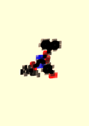 CC(C)(C)OC(=O)CCC(NC(=O)OCC1c2ccccc2-c2ccccc21)C(=O)Nc1ccc(CO)cc1